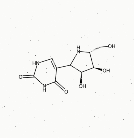 O=c1[nH]cc(C2N[C@H](CO)[C@@H](O)[C@H]2O)c(=O)[nH]1